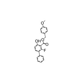 COc1ccc(COC(=O)c2c(O)ccc(-c3ccccc3)c2F)cc1